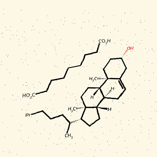 CC(C)CCCC(C)[C@H]1CC[C@H]2[C@@H]3CC=C4C[C@@H](O)CC[C@]4(C)[C@H]3CC[C@]12C.O=C(O)CCCCCCCC(=O)O